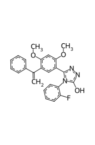 C=C(c1ccccc1)c1cc(-c2nnc(O)n2-c2ccccc2F)c(OC)cc1OC